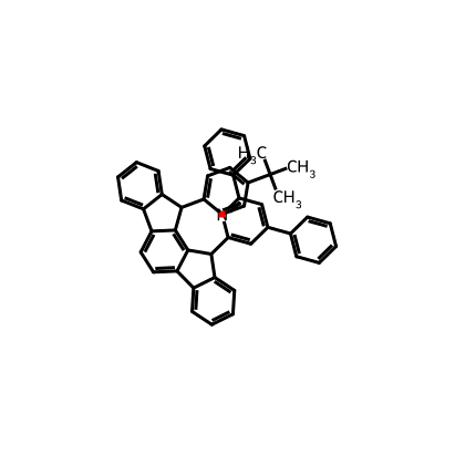 CC(C)(C)c1ccc(C2c3ccccc3-c3ccc4c(c32)C(c2cc(-c3ccccc3)cc(-c3ccccc3)n2)c2ccccc2-4)cc1